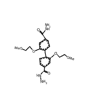 COCCOc1cc(C(=O)NN)ccc1-c1ccc(C(=O)NN)cc1OCCOC